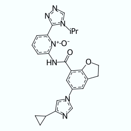 CC(C)n1cnnc1-c1cccc(NC(=O)c2cc(-n3cnc(C4CC4)c3)cc3c2OCC3)[n+]1[O-]